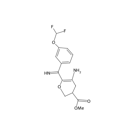 COC(=O)C1COC(C(=N)c2cccc(OC(F)F)c2)=C(N)C1